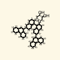 OCCOc1ccc2cc(-c3cc4ccccc4c4ccccc34)ccc2c1-c1c(OCCO)ccc2cc(-c3cc4ccccc4c4ccccc34)ccc12